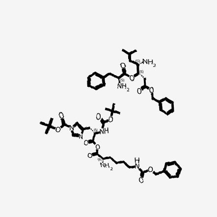 CC(C)(C)OC(=O)N[C@@H](Cc1cn(C(=O)OC(C)(C)C)cn1)C(=O)OC(=O)[C@@H](N)CCCCNC(=O)OCc1ccccc1.CC(C)C[C@H](N)[C@H](CC(=O)OCc1ccccc1)OC(=O)[C@@H](N)Cc1ccccc1